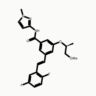 COC[C@H](C)Oc1cc(C=Cc2cc(F)ccc2F)cc(C(=O)Nc2ccn(C)n2)c1